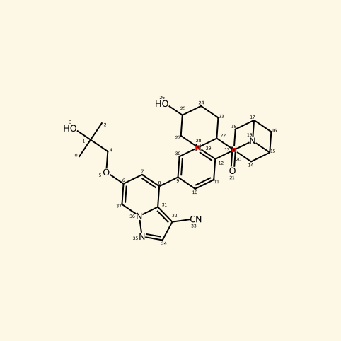 CC(C)(O)COc1cc(-c2ccc(N3CC4CC(C3)N4C(=O)C3CCC(O)CC3)nc2)c2c(C#N)cnn2c1